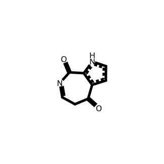 O=C1CC=NC(=O)c2[nH]ccc21